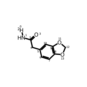 [2H]NC(=O)Cc1ccc2c(c1)OCO2